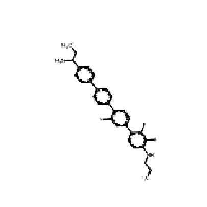 CCCNc1ccc(-c2ccc(-c3ccc(-c4ccc(C(N)CC)cc4)cc3)c(F)c2)c(F)c1F